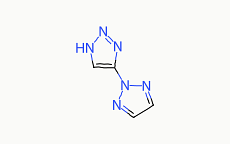 c1cnn(-c2c[nH]nn2)n1